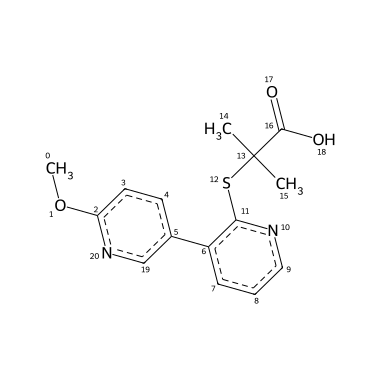 COc1ccc(-c2cccnc2SC(C)(C)C(=O)O)cn1